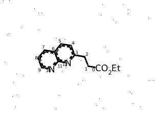 CCOC(=O)CCc1ccc2cccnc2n1